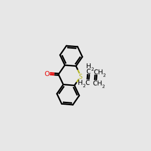 C=C.C=C.O=c1c2ccccc2sc2ccccc12